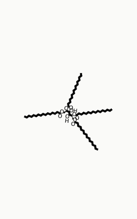 CCCCCCCCCCCCCCCC(=O)OC[C@@H](OC(=O)CCCCCCCCCCCCCCC)[C@@H](O)[C@H](O)[C@@H](COC(=O)CCCCCCCCCCCCCCC)OC(=O)CCCCCCCCCCCCCCC